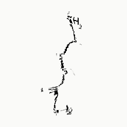 [SiH3]SSSS[SiH3]